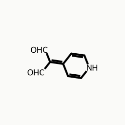 O=CC(C=O)=C1C=CNC=C1